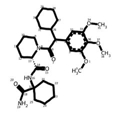 COc1cc(C(C(=O)N2CCCC[C@H]2C(=O)NC2(C(N)=O)CCCCC2)C2CCCCC2)cc(OC)c1OC